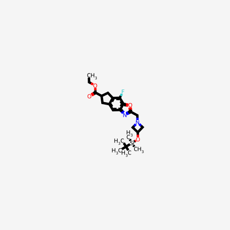 CCOC(=O)C1Cc2cc3nc(CN4CC(O[Si](C)(C)C(C)(C)C)C4)oc3c(F)c2C1